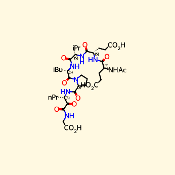 CCC[C@H](NC(=O)[C@@H]1CCCN1C(=O)[C@@H](NC(=O)[C@@H](NC(=O)[C@H](CCC(=O)O)NC(=O)[C@H](CCC(=O)O)NC(C)=O)C(C)C)C(C)CC)C(=O)C(=O)NCC(=O)O